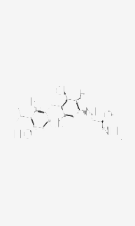 CC(C)c1c(O)ccc(Cc2c(Cl)cc(NCC(N)=O)c(F)c2Cl)c1F